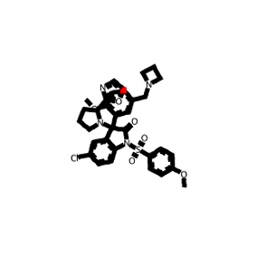 COc1ccc(S(=O)(=O)N2C(=O)C(c3cc(CN4CCC4)ccc3OC)(N3CCCC3c3ncco3)c3cc(Cl)ccc32)cc1